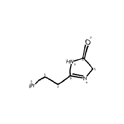 CC(C)CCC1=NCC(=O)N1